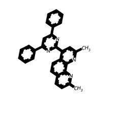 Cc1ccc2ccc3c(-c4nc(-c5ccccc5)cc(-c5ccccc5)n4)cc(C)nc3c2n1